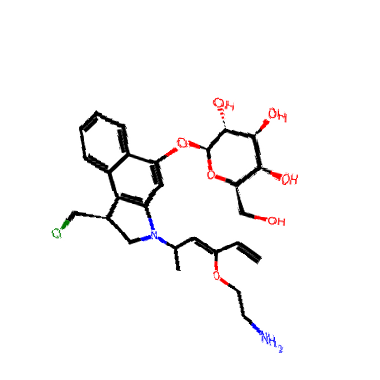 C=C/C(=C/C(C)N1C[C@@H](CCl)c2c1cc(O[C@@H]1O[C@H](CO)[C@H](O)[C@H](O)[C@H]1O)c1ccccc21)OCCN